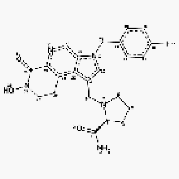 NC(=O)[C@@H]1CCCN1Cc1cn(Cc2ccc(F)cc2)c2cnc3c(c12)CCN(O)C3=O